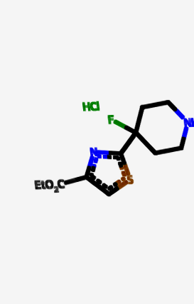 CCOC(=O)c1csc(C2(F)CCNCC2)n1.Cl